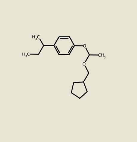 CCC(C)c1ccc(OC(C)OCC2CCCC2)cc1